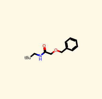 CC(C)(C)CNC(=O)COCc1ccccc1